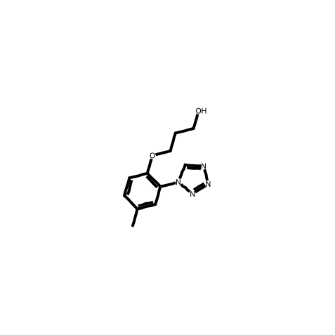 Cc1ccc(OCCCO)c(-n2cnnn2)c1